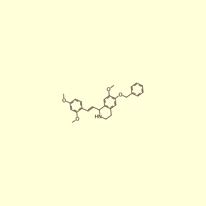 COc1ccc(C=CC2NCCc3cc(OCc4ccccc4)c(OC)cc32)c(OC)c1